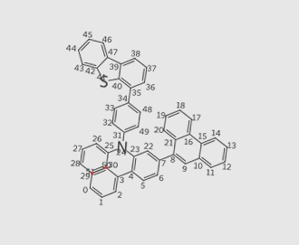 c1ccc(-c2ccc(-c3cc4ccccc4c4ccccc34)cc2N(c2ccccc2)c2ccc(-c3cccc4c3sc3ccccc34)cc2)cc1